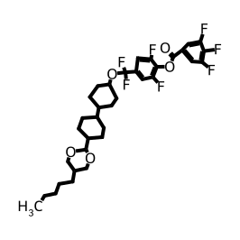 CCCCCC1COC(C2CCC(C3CCC(OC(F)(F)c4cc(F)c(OC(=O)c5cc(F)c(F)c(F)c5)c(F)c4)CC3)CC2)OC1